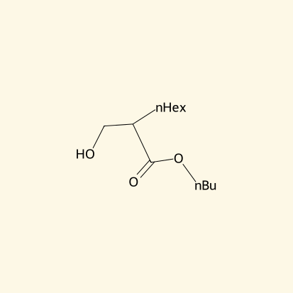 CCCCCCC(CO)C(=O)OCCCC